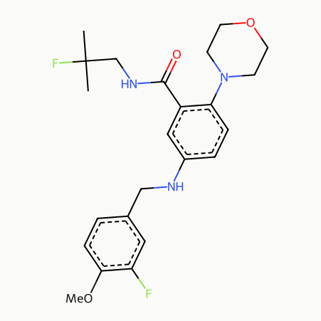 COc1ccc(CNc2ccc(N3CCOCC3)c(C(=O)NCC(C)(C)F)c2)cc1F